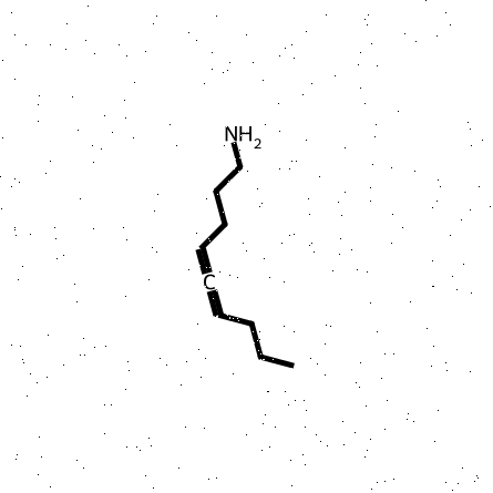 CCCC=C=CCCCN